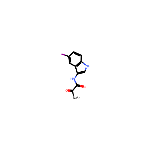 CNC(=O)C(=O)Nc1c[nH]c2ccc(I)cc12